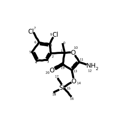 CC1(c2cccc(Cl)c2Cl)OC(N)=C(O[Si](C)(C)C)C1=O